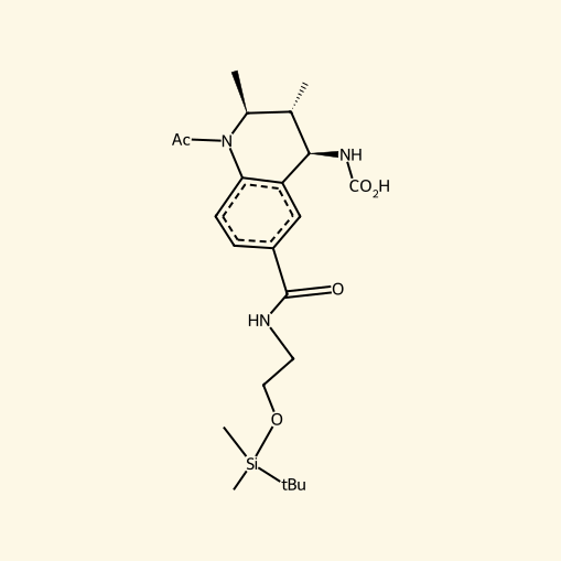 CC(=O)N1c2ccc(C(=O)NCCO[Si](C)(C)C(C)(C)C)cc2[C@H](NC(=O)O)[C@@H](C)[C@@H]1C